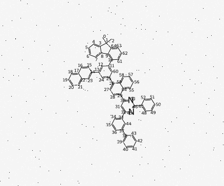 CC1(C)c2ccccc2-c2c(-c3cc(-c4ccc5ccccc5c4)cc(-c4ccc(-c5cc(-c6cccc(-c7ccccc7)c6)nc(-c6ccccc6)n5)c5ccccc45)c3)cccc21